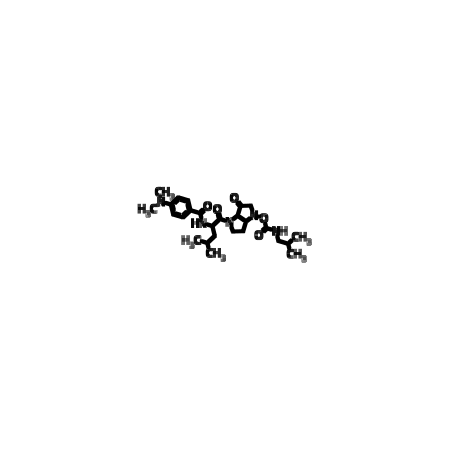 CC(C)CNC(=O)ON1CC(=O)C2C1CCN2C(=O)C(CC(C)C)NC(=O)c1ccc(N(C)C)cc1